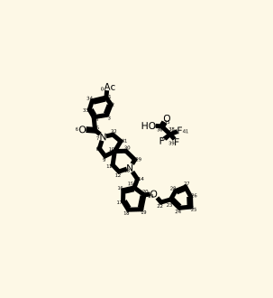 CC(=O)c1ccc(C(=O)N2CCC3(CCN(Cc4ccccc4OCc4ccccc4)CC3)CC2)cc1.O=C(O)C(F)(F)F